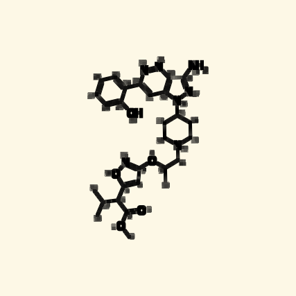 COC(=O)C(c1cc(OC(C)CN2CCC(n3nc(N)c4nnc(-c5ccccc5O)cc43)CC2)no1)C(C)C